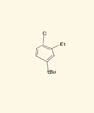 CCc1cc(C(C)(C)C)ccc1Cl